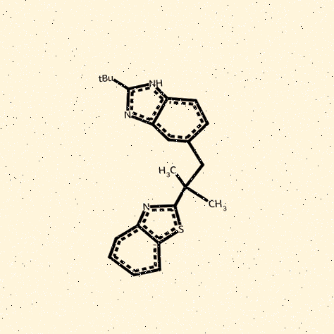 CC(C)(C)c1nc2cc(CC(C)(C)c3nc4ccccc4s3)ccc2[nH]1